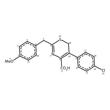 COc1ccc(CC2=NC(C(=O)O)=C(c3ccc(Cl)cc3)CS2)cc1